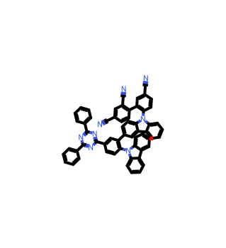 N#Cc1ccc(-c2cc(C#N)ccc2-n2c3ccccc3c3cc(-c4cc(-c5nc(-c6ccccc6)nc(-c6ccccc6)n5)ccc4-n4c5ccccc5c5ccccc54)ccc32)c(C#N)c1